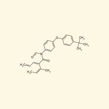 C=C/C=C(C(=O)N(C=O)c1ccc(Oc2ccc(C(C)(C)C)cc2)cc1)\C(C)=C/C